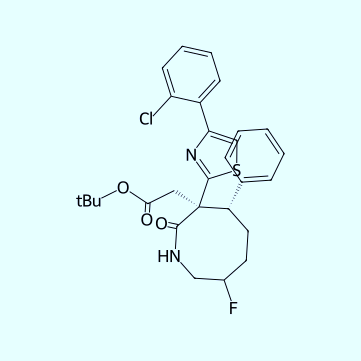 CC(C)(C)OC(=O)C[C@@]1(c2nc(-c3ccccc3Cl)cs2)C(=O)NCC(F)CC[C@H]1c1ccccc1